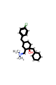 CN(C)CC1CC(Cc2ccc(Cl)cc2)CCC1(O)CC1CCCCC1